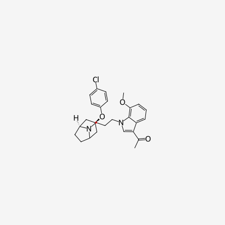 COc1cccc2c(C(C)=O)cn(CCCN3C4CC[C@H]3C[C@@H](Oc3ccc(Cl)cc3)C4)c12